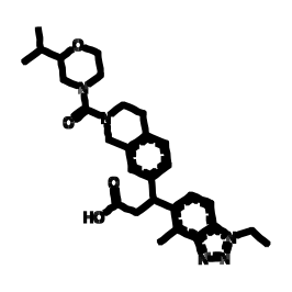 CCn1nnc2c(C)c(C(CC(=O)O)c3ccc4c(c3)CN(C(=O)N3CCOC(C(C)C)C3)CC4)ccc21